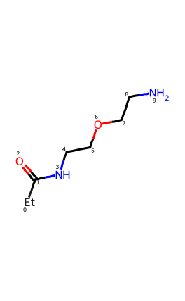 CCC(=O)NCCOCCN